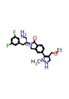 CCOCC1=C(c2ccc3c(c2)CN([C@H](CN)Cc2cc(F)cc(F)c2)C3=O)N(C)NC1